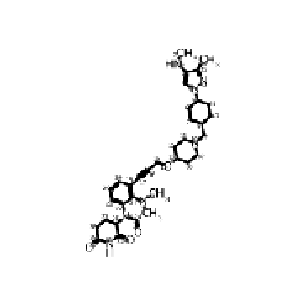 CNc1cn(C2CCC(CN3CCC(OCC#Cc4cccc(N(C=O)C5CCC(=O)NC5=O)c4N(C)C)CC3)CC2)nc1C